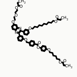 C=CC(=O)OCCCCCCCCCCOc1cccc(-c2nc3cc(OCCOCCOC(=O)C=C)ccc3nc2-c2cccc(OCc3ccc(C(=O)Oc4ccc(OCCCCCCOC(=O)C=C)cc4)cc3)c2)c1